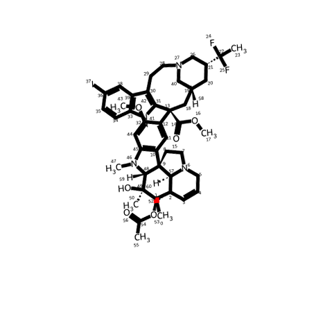 CC[C@]12C=CCN3CC[C@@]4(c5cc([C@@]6(C(=O)OC)C[C@H]7C[C@@H](C(C)(F)F)CN(CCc8c6[nH]c6ccc(I)cc86)C7)c(OC)cc5N(C)[C@H]4[C@](C)(O)[C@@H]1OC(C)=O)[C@@H]32